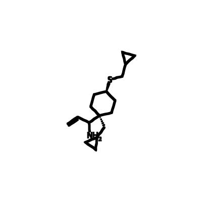 C=CC(N)[C@]1(CC2CC2)CC[C@H](SCC2CC2)CC1